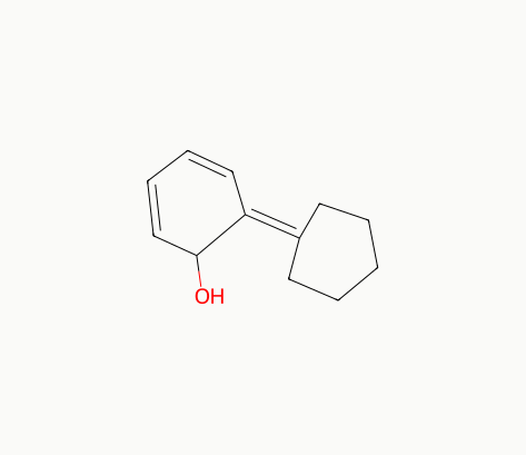 OC1C=CC=CC1=C1CCCCC1